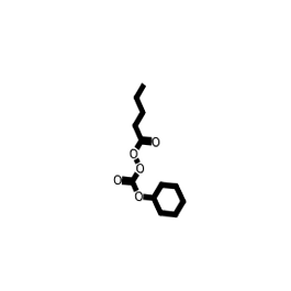 CCCCC(=O)OOC(=O)OC1CCCCC1